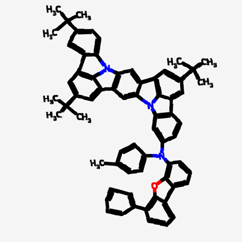 Cc1ccc(N(c2ccc3c4cc(C(C)(C)C)cc5c6cc7c(cc6n(c3c2)c45)c2cc(C(C)(C)C)cc3c4cc(C(C)(C)C)ccc4n7c32)c2cccc3c2oc2c(-c4ccccc4)cccc23)cc1